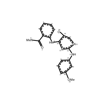 CNC(=O)c1ccccc1Nc1nc(Nc2cccc(OC)c2)ncc1Cl